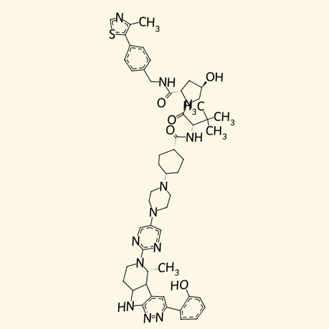 Cc1ncsc1-c1ccc(CNC(=O)[C@@H]2C[C@@H](O)CN2C(=O)[C@@H](NC(=O)[C@H]2CC[C@@H](N3CCN(c4cnc(N5CCC6Nc7nnc(-c8ccccc8O)cc7C6[C@H]5C)nc4)CC3)CC2)C(C)(C)C)cc1